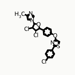 Cc1cn(C2OC(c3ccc(Oc4csc(-c5ccc(Cl)cc5)n4)cc3)[C@@H](Cl)C2Cl)cn1